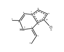 CC=C1NC(C)=Cn2ccc(Cl)c21